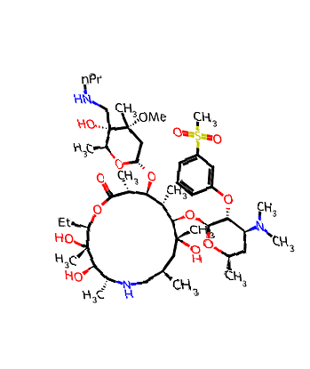 CCCNC[C@]1(O)[C@H](C)O[C@@H](O[C@H]2[C@H](C)[C@@H](O[C@@H]3O[C@H](C)C[C@H](N(C)C)[C@H]3Oc3cccc(S(C)(=O)=O)c3)[C@](C)(O)C[C@@H](C)CN[C@H](C)[C@@H](O)[C@](C)(O)[C@@H](CC)OC(=O)[C@@H]2C)C[C@@]1(C)OC